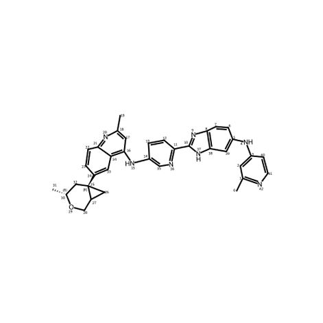 Cc1cc(Nc2ccc3nc(-c4ccc(Nc5cc(C)nc6ccc([C@@]78CC7CO[C@H](C)C8)cc56)cn4)[nH]c3c2)ccn1